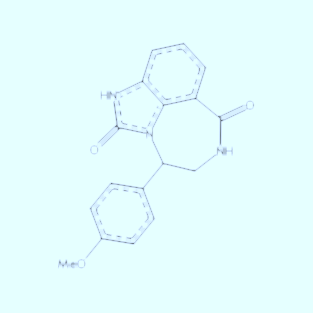 COc1ccc(C2CNC(=O)c3cccc4[nH]c(=O)n2c34)cc1